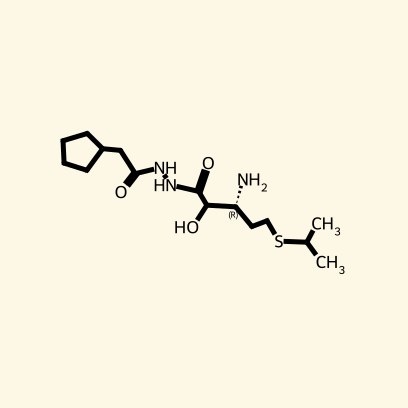 CC(C)SCC[C@@H](N)C(O)C(=O)NNC(=O)CC1CCCC1